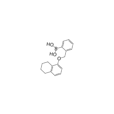 OB(O)c1ccccc1COc1cccc2c1CCCC2